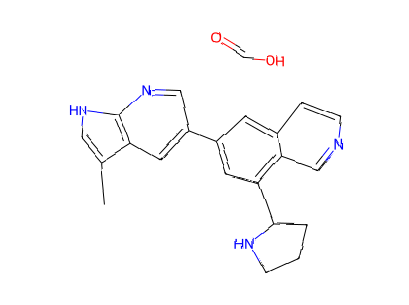 Cc1c[nH]c2ncc(-c3cc(C4CCCN4)c4cnccc4c3)cc12.O=CO